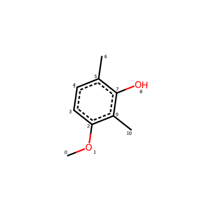 COc1c[c]c(C)c(O)c1C